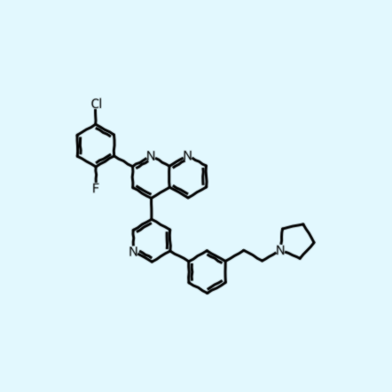 Fc1ccc(Cl)cc1-c1cc(-c2cncc(-c3cccc(CCN4CCCC4)c3)c2)c2cccnc2n1